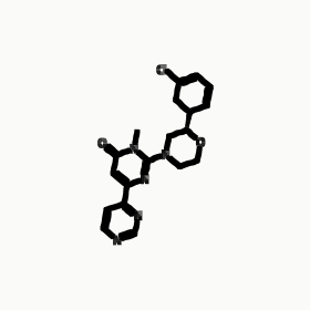 Cn1c(N2CCO[C@H](C3C=CC=C(Cl)C3)C2)nc(-c2ccncn2)cc1=O